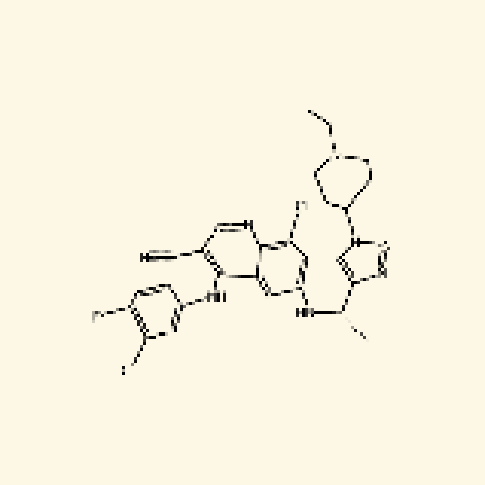 CCN1CCC(n2cc([C@H](C)Nc3cc(Cl)c4ncc(C#N)c(Nc5ccc(F)c(Cl)c5)c4c3)nn2)CC1